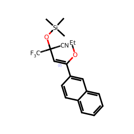 CCO/C(=C\C(C#N)(O[Si](C)(C)C)C(F)(F)F)c1ccc2ccccc2c1